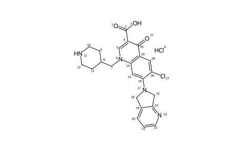 Cl.O=C(O)c1cn(CC2CCNCC2)c2cc(N3Cc4cccnc4C3)c(Cl)cc2c1=O